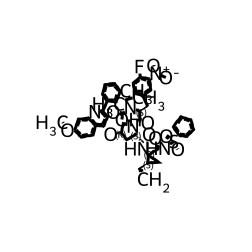 C=C[C@@H]1C[C@]1(NC(=O)[C@@H]1C[C@@H](Oc2cc(-c3ccccc3)nc3cc(OC)ccc23)CN1C(=O)[C@H](Cc1ccc(F)c([N+](=O)[O-])c1)N(C(=O)O)C(C)(C)C)C(=O)NS(=O)(=O)c1ccccc1